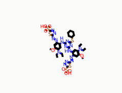 CCN(CC)c1cc(Nc2nc(Nc3cc(N(CC)CC)c(OC)cc3/N=N/c3nnc(S(=O)(=O)O)s3)nc(SC3CCCCC3)n2)c(/N=N/c2nnc(S(=O)(=O)O)s2)cc1OC